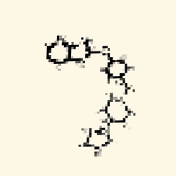 c1cnc2nc(Oc3ccc(CN4CCC(N5CCCC5)CC4)cc3)sc2c1